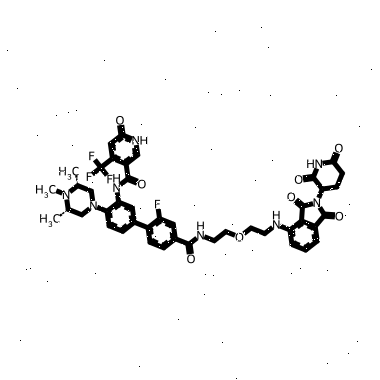 C[C@@H]1CN(c2ccc(-c3ccc(C(=O)NCCOCCNc4cccc5c4C(=O)N(C4CCC(=O)NC4=O)C5=O)cc3F)cc2NC(=O)c2c[nH]c(=O)cc2C(F)(F)F)C[C@H](C)N1C